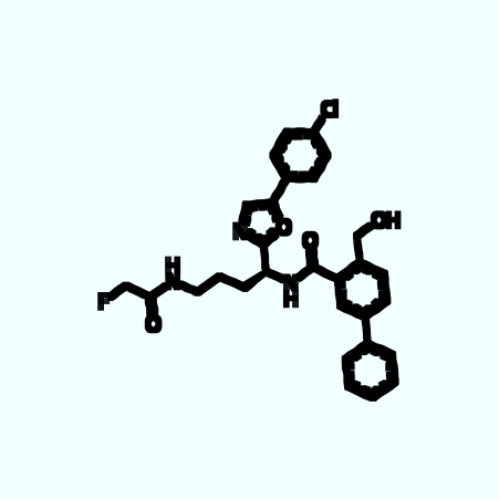 O=C(CF)NCCC[C@H](NC(=O)c1cc(-c2ccccc2)ccc1CO)c1ncc(-c2ccc(Cl)cc2)o1